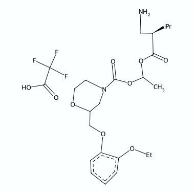 CCOc1ccccc1OCC1CN(C(=O)OC(C)OC(=O)[C@@H](CN)C(C)C)CCO1.O=C(O)C(F)(F)F